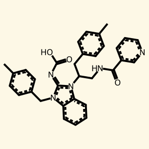 Cc1ccc(CC(CNC(=O)c2cccnc2)n2c(=NC(=O)O)n(Cc3ccc(C)cc3)c3ccccc32)cc1